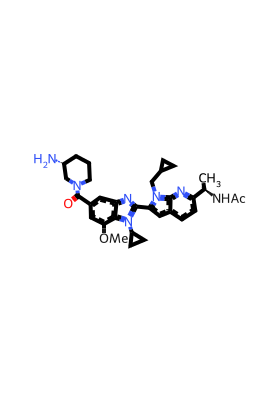 COc1cc(C(=O)N2CCC[C@@H](N)C2)cc2nc(-c3cc4ccc([C@@H](C)NC(C)=O)nc4n3CC3CC3)n(C3CC3)c12